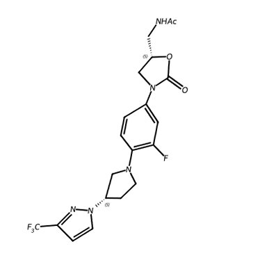 CC(=O)NC[C@H]1CN(c2ccc(N3CC[C@H](n4ccc(C(F)(F)F)n4)C3)c(F)c2)C(=O)O1